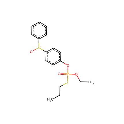 CCCSP(=O)(OCC)Oc1ccc([S+]([O-])c2ccccc2)cc1